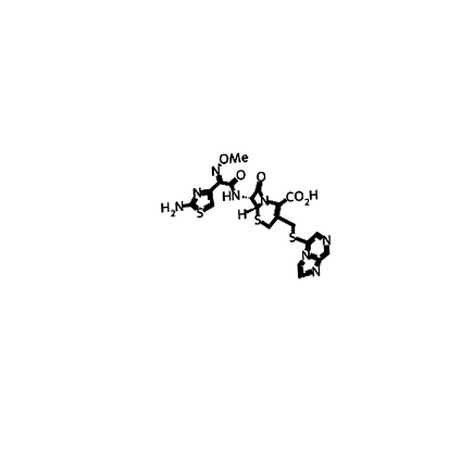 CO/N=C(\C(=O)N[C@@H]1C(=O)N2C(C(=O)O)=C(CSc3cncc4nccn34)CS[C@H]12)c1csc(N)n1